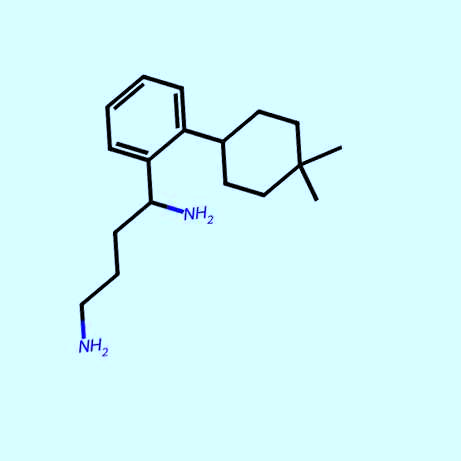 CC1(C)CCC(c2ccccc2C(N)CCCN)CC1